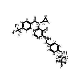 CC(c1ccc(C(F)(F)F)cc1)N(c1ncnc(NCc2ccc(NS(=O)(=O)C(F)(F)F)cc2)c1F)C1CC1